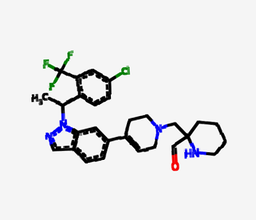 CC(c1ccc(Cl)cc1C(F)(F)F)n1ncc2ccc(C3=CCN(CC4(C=O)CCCCN4)CC3)cc21